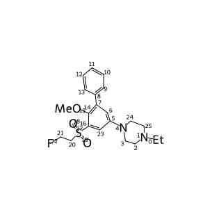 CCN1CCN(c2cc(-c3ccccc3)c(OC)c(S(=O)(=O)CCF)c2)CC1